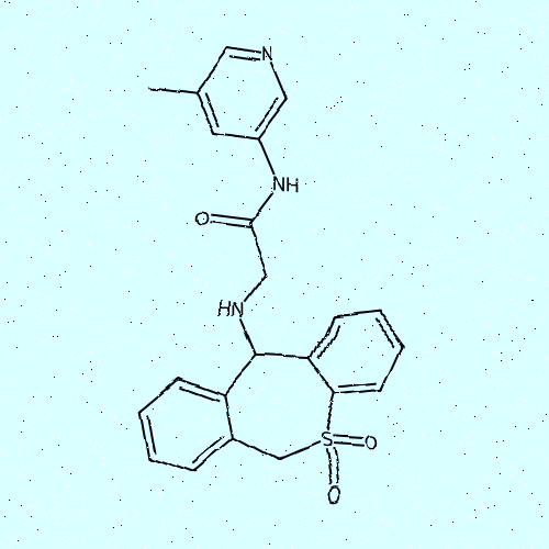 Cc1cncc(NC(=O)CNC2c3ccccc3CS(=O)(=O)c3ccccc32)c1